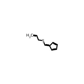 C=CCSC=C1C=CC=C1